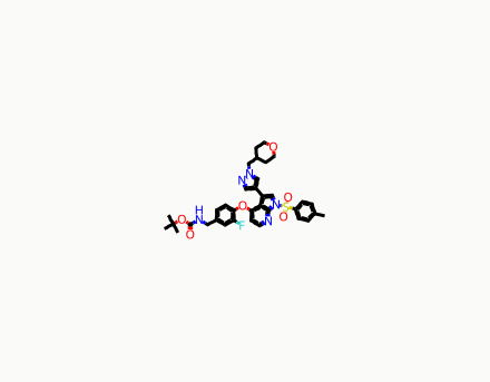 Cc1ccc(S(=O)(=O)n2cc(-c3cnn(CC4CCOCC4)c3)c3c(Oc4ccc(CNC(=O)OC(C)(C)C)cc4F)ccnc32)cc1